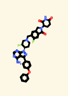 Nc1ncnc2c1c(-c1ccc(Oc3ccccc3)cc1)nn2[C@H]1CCN(Cc2cc3c(cc2F)C(=O)N(C2CCC(=O)NC2=O)C3)C[C@H]1F